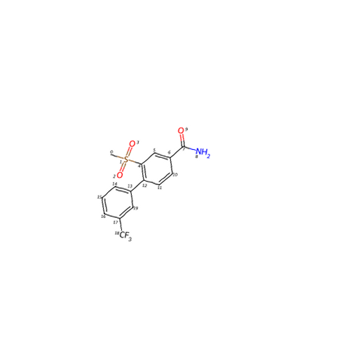 CS(=O)(=O)c1cc(C(N)=O)ccc1-c1cccc(C(F)(F)F)c1